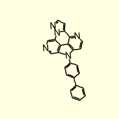 c1ccc(-c2ccc(-n3c4ccnc5c4c4c3cncc4n3nccc53)cc2)cc1